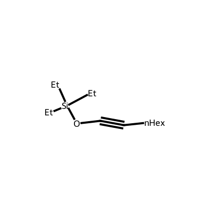 CCCCCCC#CO[Si](CC)(CC)CC